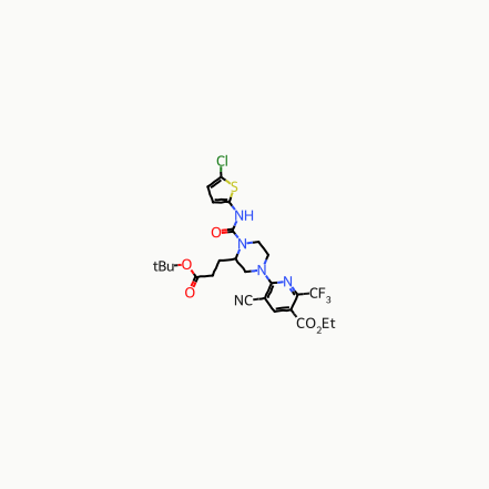 CCOC(=O)c1cc(C#N)c(N2CCN(C(=O)Nc3ccc(Cl)s3)C(CCC(=O)OC(C)(C)C)C2)nc1C(F)(F)F